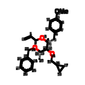 C=CCO[C@H](Cc1ccc(OC)cc1)[C@@H](OCC1CC1)[C@H](C)OCc1ccccc1